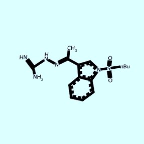 CCCCS(=O)(=O)n1cc(C(C)=NNC(=N)N)c2ccccc21